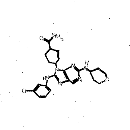 NC(=O)C1CCC(n2c(Nc3cccc(Cl)c3)nc3cnc(NC4CCOCC4)nc32)CC1